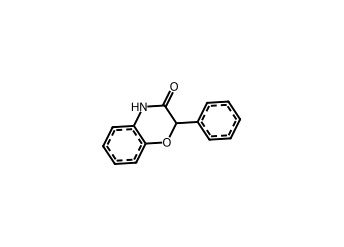 O=C1Nc2ccccc2OC1c1ccccc1